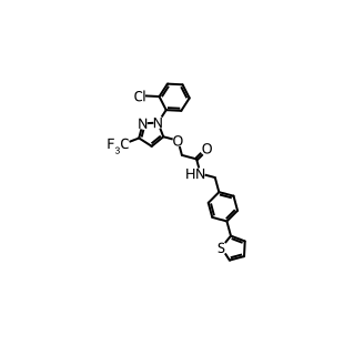 O=C(COc1cc(C(F)(F)F)nn1-c1ccccc1Cl)NCc1ccc(-c2cccs2)cc1